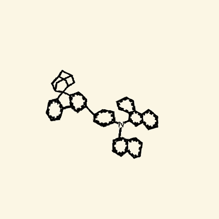 c1ccc2c(c1)-c1cc(-c3ccc(N(c4cccc5ccccc45)c4cc5ccccc5c5ccccc45)cc3)ccc1C21C2CC3CC(C2)CC1C3